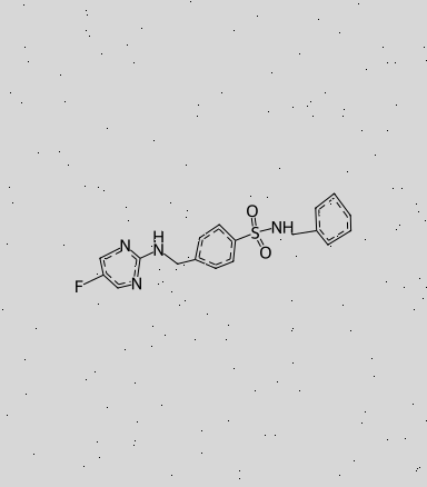 O=S(=O)(NCc1ccccc1)c1ccc(CNc2ncc(F)cn2)cc1